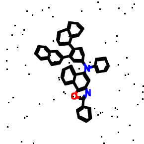 c1ccc(-c2nc3cc(N(c4ccccc4)c4ccc(-c5cccc6ccccc56)c(-c5ccc6ccccc6c5)c4)c4ccccc4c3o2)cc1